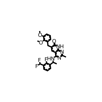 COc1cccc(Cc2cc3c(NC(C)c4cccc(C(F)F)c4F)nc(C)nc3[nH]c2=O)c1OC